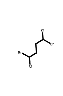 ClC(Br)CCC(Cl)Br